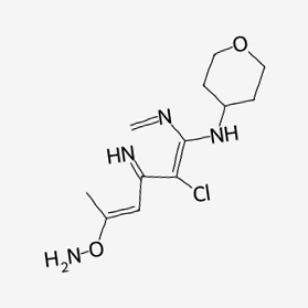 C=N/C(NC1CCOCC1)=C(/Cl)C(=N)/C=C(\C)ON